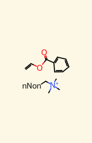 C=COC(=O)c1ccccc1.CCCCCCCCCC[N+](C)(C)C